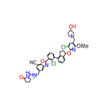 COc1nc(O[C@@H]2CCc3c(-c4cccc(-c5nc6cc(CNC[C@@H]7CCC(=O)N7)cc(C#N)c6o5)c4Cl)cccc32)c(Cl)cc1CN1CC[C@@H](O)C1